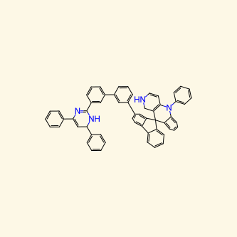 C1=CC2=C(CN1)C1(c3ccccc3-c3ccc(-c4cccc(-c5cccc(C6=NC(c7ccccc7)=CC(c7ccccc7)N6)c5)c4)cc31)c1ccccc1N2c1ccccc1